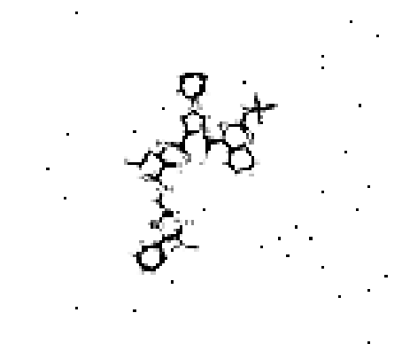 CCCC(NC(=O)C1C[C@@H](c2ccccc2)CN1C(=O)[C@@H](NC(=O)OC(C)(C)C)C1CCCCC1)C(=O)C(=O)NCC(=O)N[C@H](C(=O)OC)c1ccccc1